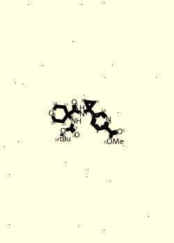 COC(=O)c1ccc(C2(NC(=O)C3(NC(=O)OC(C)(C)C)CCOCC3)CC2)cn1